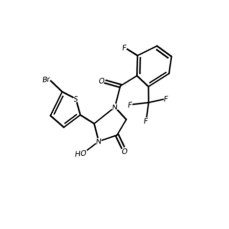 O=C1CN(C(=O)c2c(F)cccc2C(F)(F)F)C(c2ccc(Br)s2)N1O